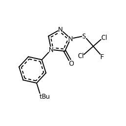 CC(C)(C)c1cccc(-n2cnn(SC(F)(Cl)Cl)c2=O)c1